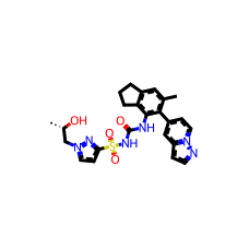 Cc1cc2c(c(NC(=O)NS(=O)(=O)c3ccn(C[C@H](C)O)n3)c1-c1ccn3nccc3c1)CCC2